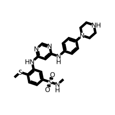 CNS(=O)(=O)c1ccc(SC)c(Nc2cc(Nc3ccc(N4CCNCC4)cc3)ncn2)c1